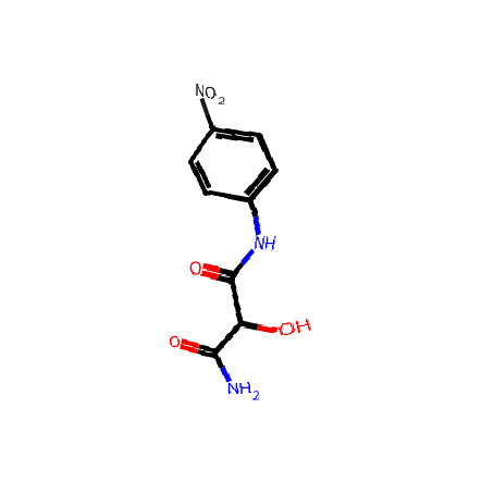 NC(=O)C(O)C(=O)Nc1ccc([N+](=O)[O-])cc1